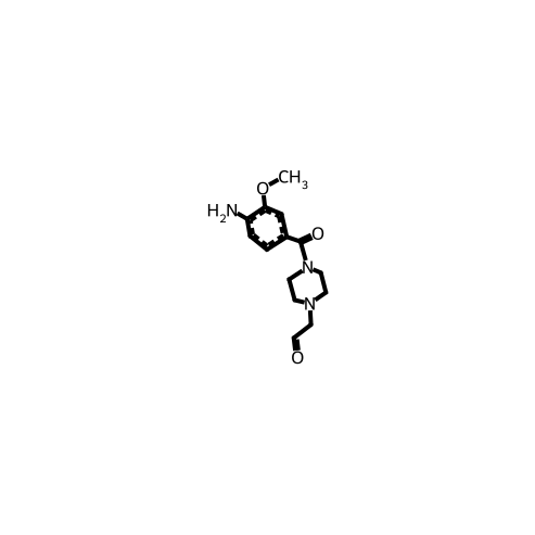 COc1cc(C(=O)N2CCN(CC=O)CC2)ccc1N